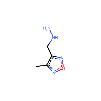 Cc1nonc1CNN